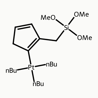 CCC[CH2][Pt]([CH2]CCC)([CH2]CCC)[C]1=C(C[Si](OC)(OC)OC)C=CC1